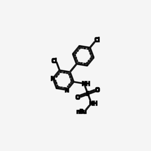 CCCCNS(=O)(=O)Nc1ncnc(Cl)c1-c1ccc(Cl)cc1